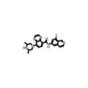 CC1CN(c2ccc(C(=O)Nc3cc(F)c4cnccc4c3)c3nccnc23)CC(C)N1